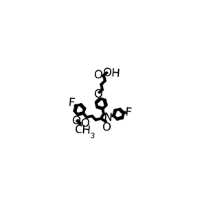 CC(=O)OC(CCC1C(=O)N(c2ccc(F)cc2)C1c1ccc(OCCCC(=O)O)cc1)c1ccc(F)cc1